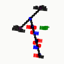 CCCC[P+](CCCC)(CCCC)CCCCCCCCCCN(CCCCCCCCCC[P+](CCCC)(CCCC)CCCC)CCCCCN(O)C(=O)CCC(=O)NCCCCCN(O)C(=O)CCC(=O)NCCCCCN(O)C(C)=O.Cl.[Cl-].[Cl-]